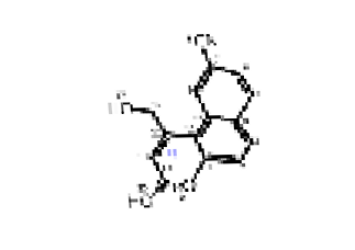 COc1ccc2ccc(C#N)cc2c1/C(=C\CO)CO